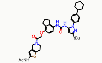 CC(=O)Nc1cc2c(s1)CCN(C(=O)COc1ccc(NC(=O)Nc3cc(C(C)(C)C)nn3-c3ccc(C4CCCCC4)cc3)c3c1CCC3)C2